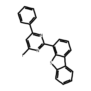 Ic1cc(-c2ccccc2)nc(-c2cccc3c2sc2ccccc23)n1